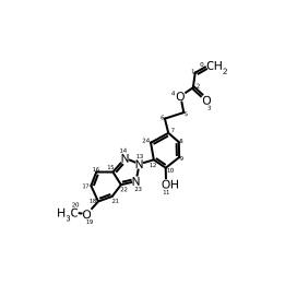 C=CC(=O)OCCc1ccc(O)c(-n2nc3ccc(OC)cc3n2)c1